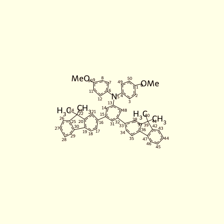 COc1ccc(N(c2ccc(OC)cc2)c2cc(-c3ccc4c(c3)C(C)(C)c3ccccc3-4)cc(-c3ccc4c(c3)C(C)(C)c3ccccc3-4)c2)cc1